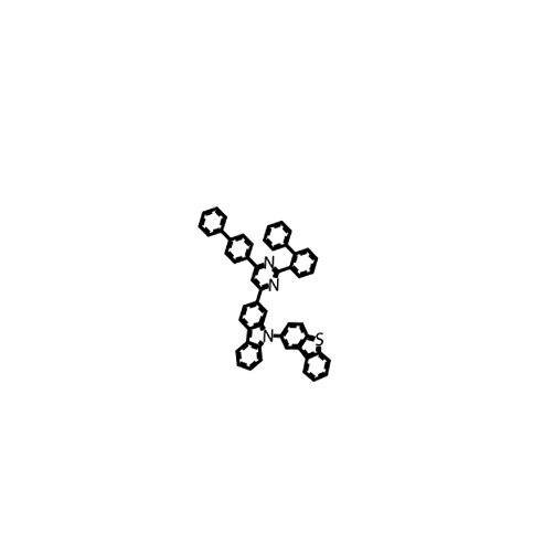 c1ccc(-c2ccc(-c3cc(-c4ccc5c6ccccc6n(-c6ccc7sc8ccccc8c7c6)c5c4)nc(-c4ccccc4-c4ccccc4)n3)cc2)cc1